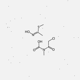 CN(C(=O)O)C(=O)CCl.CS/C(C)=N\O